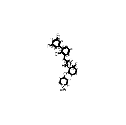 CC(C)N1CCC(O[C@H]2CCCC(F)(F)[C@@H]2NC(=O)Cc2cccc(-c3cc(F)cc(F)c3)c2Cl)CC1